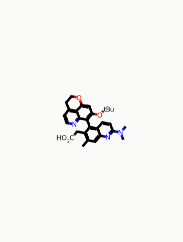 Cc1cc2nc(N(C)C)ccc2c(-c2c(OC(C)(C)C)cc3c4c(ccnc24)CCO3)c1CC(=O)O